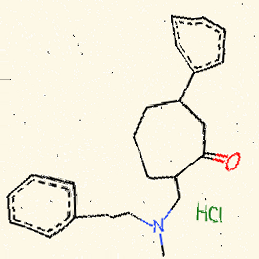 CN(CCc1ccccc1)CC1CCCC(c2ccccc2)CC1=O.Cl